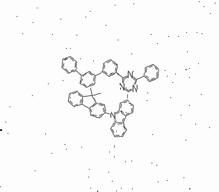 CC1(C)c2ccccc2-c2ccc(-n3c4ccccc4c4ccc(-c5nc(-c6ccccc6)nc(-c6cccc(-c7cccc(-c8ccccc8)c7)c6)n5)cc43)cc21